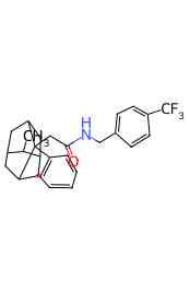 CC1C2CC3CC1CC(C2)C3(CC(=O)NCc1ccc(C(F)(F)F)cc1)c1ccccc1